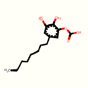 CCCCCCCCc1cc(O)c(O)c(OC(=O)O)c1